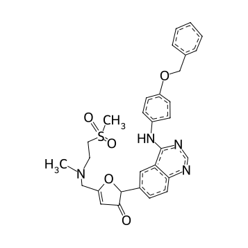 CN(CCS(C)(=O)=O)CC1=CC(=O)C(c2ccc3ncnc(Nc4ccc(OCc5ccccc5)cc4)c3c2)O1